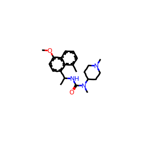 COc1ccc(C(C)NC(=O)N(C)C2CCN(C)CC2)c2c(C)cccc12